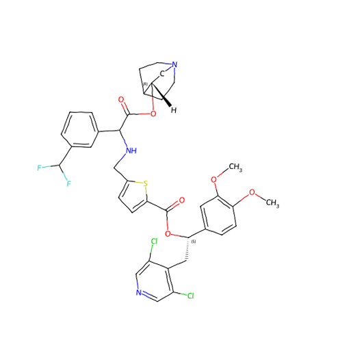 COc1ccc([C@H](Cc2c(Cl)cncc2Cl)OC(=O)c2ccc(CNC(C(=O)O[C@H]3CN4CCC3CC4)c3cccc(C(F)F)c3)s2)cc1OC